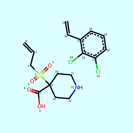 C=CCS(=O)(=O)C1(C(=O)O)CCNCC1.C=Cc1cccc(Cl)c1Cl